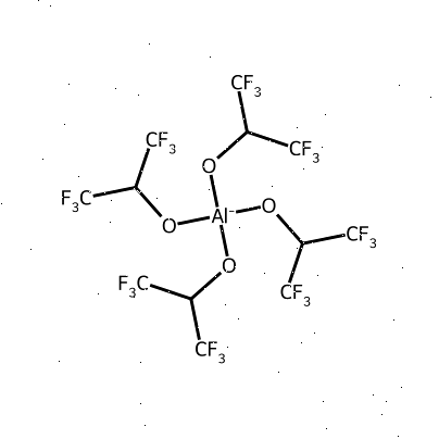 FC(F)(F)C([O][Al-]([O]C(C(F)(F)F)C(F)(F)F)([O]C(C(F)(F)F)C(F)(F)F)[O]C(C(F)(F)F)C(F)(F)F)C(F)(F)F